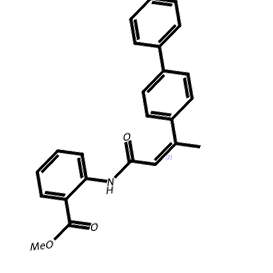 COC(=O)c1ccccc1NC(=O)/C=C(/C)c1ccc(-c2ccccc2)cc1